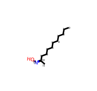 CCCCCCCCCC/C(C)=N\O